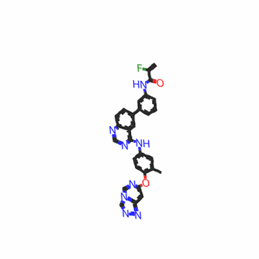 C=C(F)C(=O)Nc1cccc(-c2ccc3ncnc(Nc4ccc(Oc5cc6nncn6cn5)c(C)c4)c3c2)c1